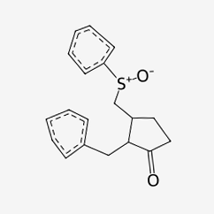 O=C1CCC(C[S+]([O-])c2ccccc2)C1Cc1ccccc1